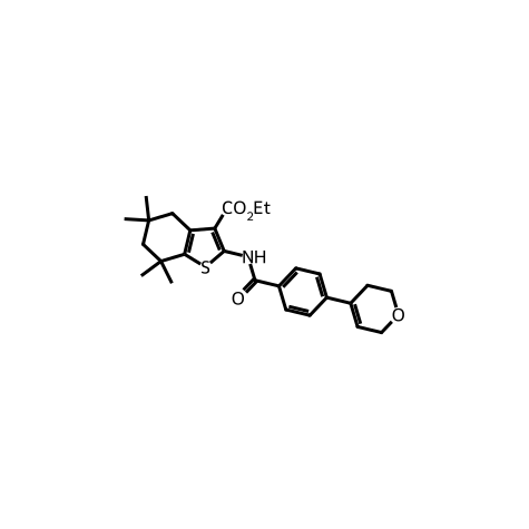 CCOC(=O)c1c(NC(=O)c2ccc(C3=CCOCC3)cc2)sc2c1CC(C)(C)CC2(C)C